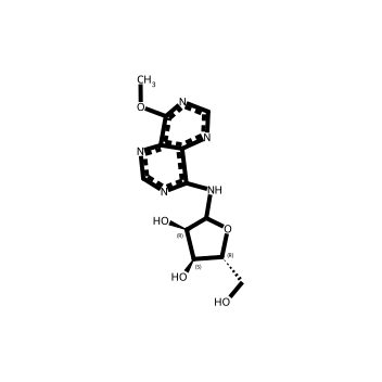 COc1ncnc2c(NC3O[C@H](CO)[C@@H](O)[C@H]3O)ncnc12